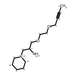 CC#CCOCCOCC(N)CN1CCCCC1